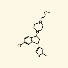 Cc1cc([C@H]2C[C@H](N3CCN(CCO)CC3)c3ccc(Cl)cc32)cs1